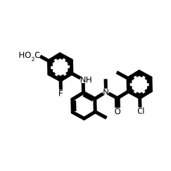 Cc1cccc(Cl)c1C(=O)N(C)C1=C(Nc2ccc(C(=O)O)cc2F)C=CCC1C